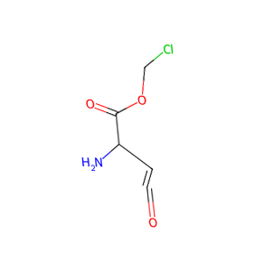 NC(C=C=O)C(=O)OCCl